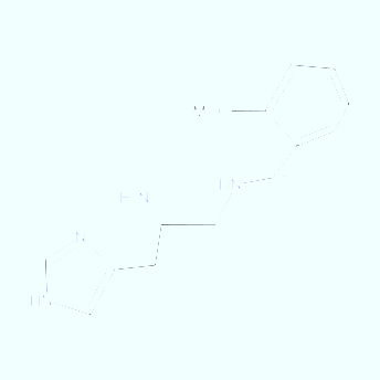 COc1ccccc1[C@H](C)NC[C@@H](N)Cc1c[nH]cn1